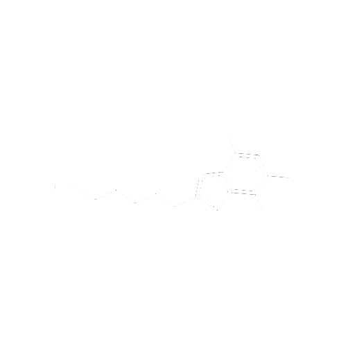 CCOC(=O)CCCCCc1nc2c(F)c(F)cc(F)c2s1